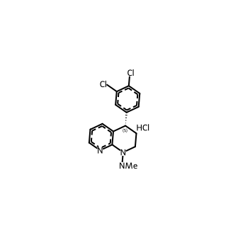 CNN1CC[C@@H](c2ccc(Cl)c(Cl)c2)c2cccnc21.Cl